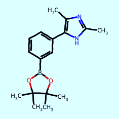 Cc1nc(C)c(-c2cccc(B3OC(C)(C)C(C)(C)O3)c2)[nH]1